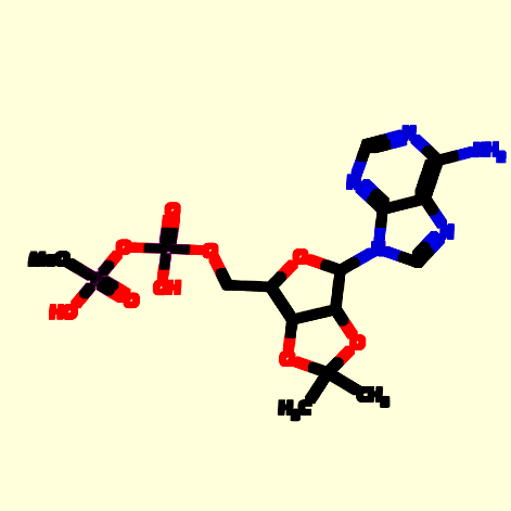 COP(=O)(O)OP(=O)(O)OCC1OC(n2cnc3c(N)ncnc32)C2OC(C)(C)OC12